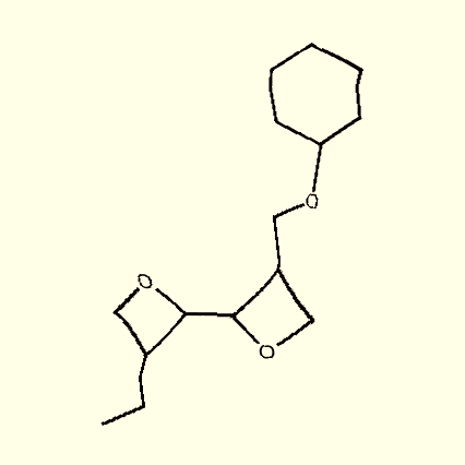 CCC1COC1C1OCC1COC1CCCCC1